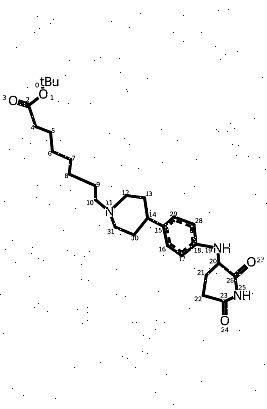 CC(C)(C)OC(=O)CCCCCCCN1CCC(c2ccc(NC3CCC(=O)NC3=O)cc2)CC1